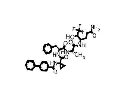 C[C@H](NC(=O)[C@H](Cc1ccccc1)NC(=O)C1(NC(=O)c2ccc(-c3ccccc3)cc2)CC1)C(=O)NC(CCC(N)=O)C(O)C(F)(F)F